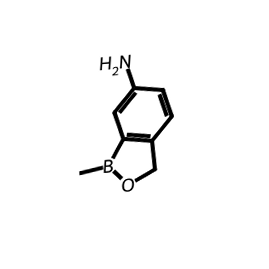 CB1OCc2ccc(N)cc21